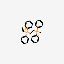 C=C[PH](CC[PH](C)(c1ccccc1)c1ccccc1)(c1ccccc1)c1ccccc1